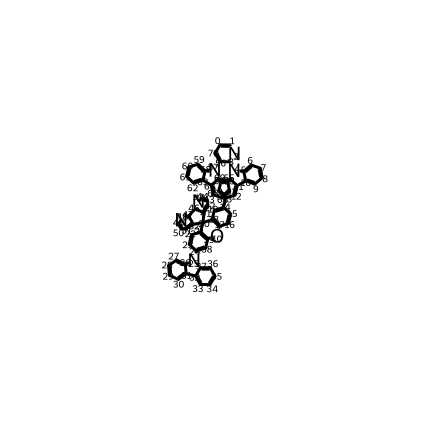 c1cnc(-n2c3ccccc3c3cc(-c4ccc5c(c4)C4(c6ccc(-n7c8ccccc8c8ccccc87)cc6O5)c5cccnc5-c5ncccc54)ccc32)c(-n2c3ccccc3c3ccccc32)c1